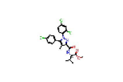 COC(=O)[C@@H](NC(=O)c1nn(-c2ccc(Cl)cc2Cl)c(-c2ccc(Cl)cc2)c1C)C(C)C